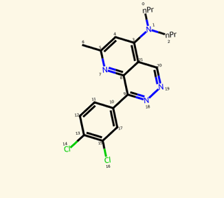 CCCN(CCC)c1cc(C)nc2c(-c3ccc(Cl)c(Cl)c3)nncc12